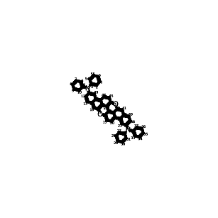 c1ccc(N(c2ccccc2)c2ccc3cc4oc5ccc6c7cc(N(c8ccccc8)c8ccccc8)ccc7cc7oc8ccc(c3c2)c4c8-c5c76)cc1